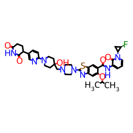 CC(C)Oc1cc2nc(N3CCN(CC4(O)CCN(c5ccc(C6CCC(=O)NC6=O)cn5)CC4)CC3)sc2cc1C(=O)Nc1cccn([C@H]2C[C@H]2F)c1=O